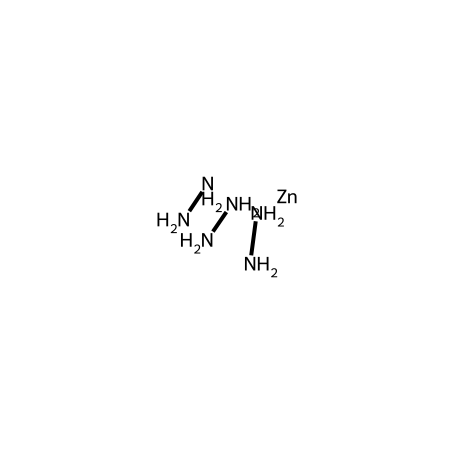 NN.NN.NN.[Zn]